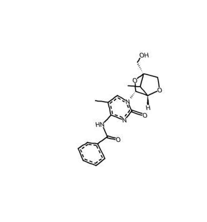 Cc1cn([C@@H]2O[C@@]3(CO)CO[C@H]2C3C)c(=O)nc1NC(=O)c1ccccc1